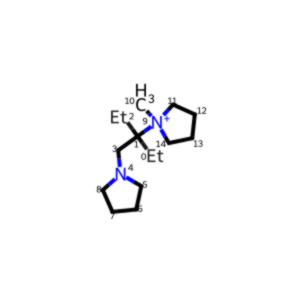 CCC(CC)(CN1CCCC1)[N+]1(C)CCCC1